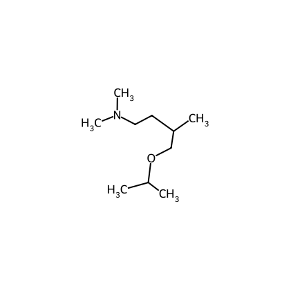 CC(CCN(C)C)COC(C)C